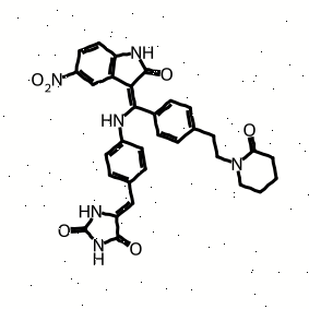 O=C1NC(=O)C(=Cc2ccc(NC(=C3C(=O)Nc4ccc([N+](=O)[O-])cc43)c3ccc(CCN4CCCCC4=O)cc3)cc2)N1